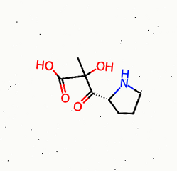 CC(O)(C(=O)O)C(=O)[C@H]1CCCN1